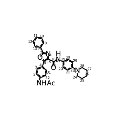 CC(=O)Nc1ccc(-c2oc(-c3ccccc3)nc2C(=O)Nc2ccc(N3CCCCC3)cc2)cc1